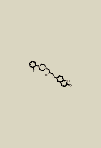 O=c1ccc2cc(OC[C@H](O)CN3CCN(c4ccccc4F)CC3)ccc2[nH]1